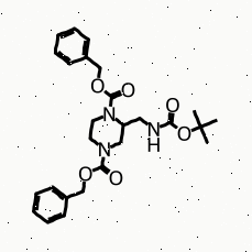 CC(C)(C)OC(=O)NCC1CN(C(=O)OCc2ccccc2)CCN1C(=O)OCc1ccccc1